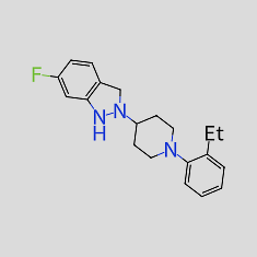 CCc1ccccc1N1CCC(N2Cc3ccc(F)cc3N2)CC1